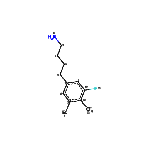 CCc1cc(CCCCN)cc(F)c1C(F)(F)F